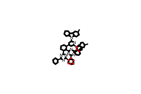 Cc1ccc2c(c1)c1ccccc1n2-c1cc(-c2cccc(-c3nc(-c4ccccc4)nc(-c4ccccc4)n3)c2-c2nc(-c3ccccc3)nc(-c3ccccc3)n2)cc(-n2c3ccccc3c3cc(C)ccc32)n1